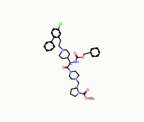 CC(C)(C)OC(=O)N1CCC[C@H]1CN1CCN(C(=O)[C@H](NC(=O)OCc2ccccc2)C2CCN(CCc3cc(Cl)ccc3-c3ccccc3)CC2)CC1